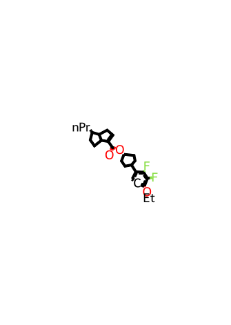 CCCC1CCC2C(C(=O)OC3CCC(c4ccc(OCC)c(F)c4F)CC3)=CCC12